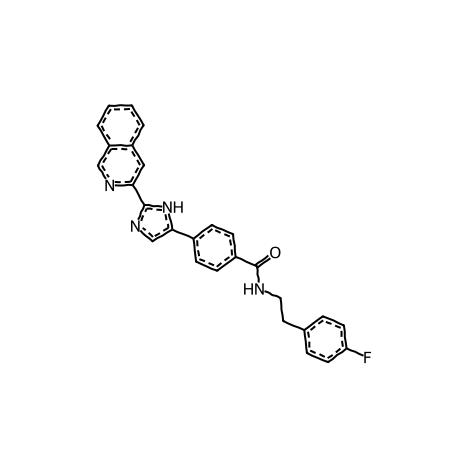 O=C(NCCc1ccc(F)cc1)c1ccc(-c2cnc(-c3cc4ccccc4cn3)[nH]2)cc1